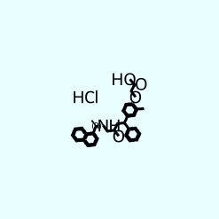 Cc1cc(C2CC(CN[C@H](C)c3cccc4ccccc34)Oc3ccccc32)ccc1OCC(=O)O.Cl